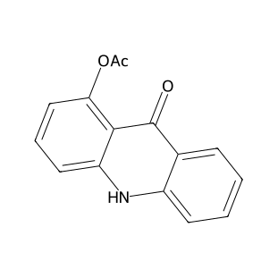 CC(=O)Oc1cccc2[nH]c3ccccc3c(=O)c12